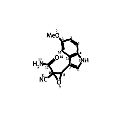 COc1ccc2[nH]cc(C3OC3(C#N)C(N)=O)c2c1